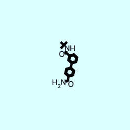 CC(C)(C)NC(=O)c1cccc(-c2ccc(C(N)=O)cc2)c1